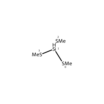 CS[SiH](SC)SC